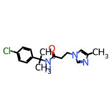 Cc1cn(CCC(=O)NC(C)(C)c2ccc(Cl)cc2)cn1